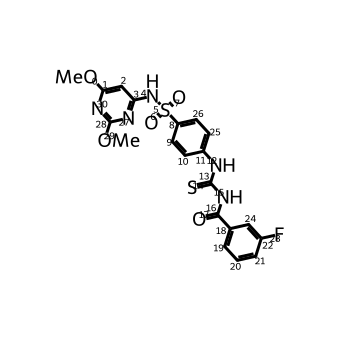 COc1cc(NS(=O)(=O)c2ccc(NC(=S)NC(=O)c3cccc(F)c3)cc2)nc(OC)n1